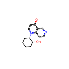 O=c1ccn([C@H]2CCCC[C@H]2O)c2ccncc12